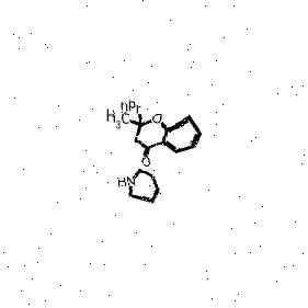 C1CCNCC1.CCCC1(C)CC(=O)c2ccccc2O1